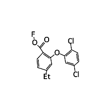 CCc1ccc(C(=O)OF)c(Oc2cc(Cl)ccc2Cl)c1